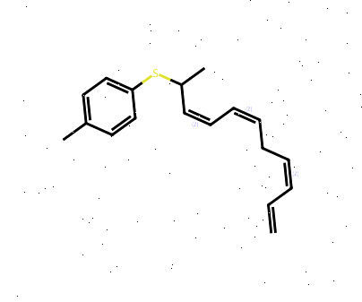 C=C/C=C\C/C=C\C=C/C(C)Sc1ccc(C)cc1